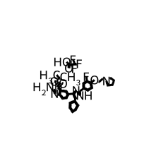 CC(C)S(=O)(=O)n1c(N)nc2ccc(-c3nc(-c4ccc(OCCN5CCCC5)c(F)c4)[nH]c3-c3ccccc3)cc21.O=C(O)C(F)(F)F